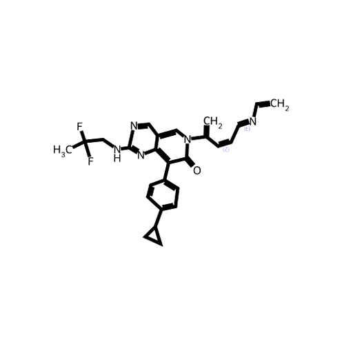 C=C/N=C/C=C\C(=C)n1cc2cnc(NCC(C)(F)F)nc2c(-c2ccc(C3CC3)cc2)c1=O